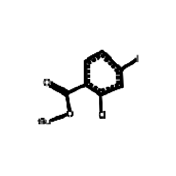 CC(C)(C)OC(=O)c1ccc(I)cc1Cl